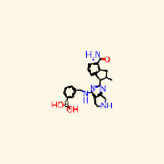 CC1Cc2c(C(N)=O)cccc2C1c1nc2c(c(NCc3cccc(B(O)O)c3)n1)CCNC2